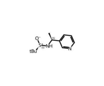 C[C@H](N[S@+]([O-])C(C)(C)C)c1cccnc1